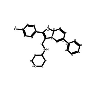 Clc1ccc(C2=C(CNC3CCOCC3)N3C=C(c4ccccc4)C=CC3N2)cc1